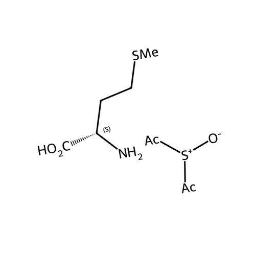 CC(=O)[S+]([O-])C(C)=O.CSCC[C@H](N)C(=O)O